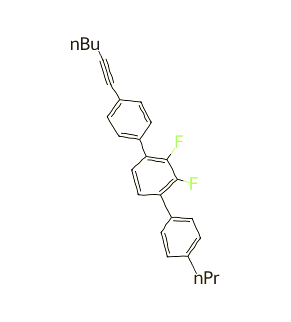 CCCCC#Cc1ccc(-c2ccc(-c3ccc(CCC)cc3)c(F)c2F)cc1